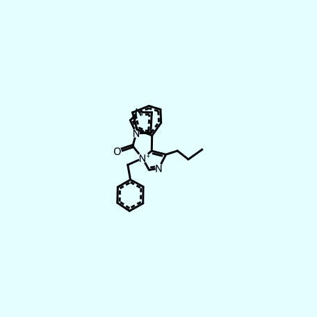 CCCC1=C(c2ccccc2)[N+](Cc2ccccc2)(C(=O)n2ccnc2)C=N1